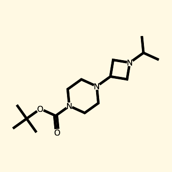 CC(C)N1CC(N2CCN(C(=O)OC(C)(C)C)CC2)C1